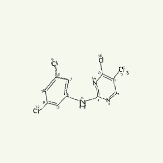 FC(F)(F)c1cnc(Nc2cc(Cl)cc(Cl)c2)nc1Cl